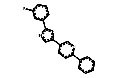 Fc1cccc(-c2nc(-c3ccc(-c4ccccc4)nc3)c[nH]2)c1